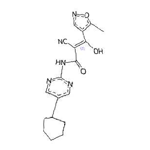 Cc1oncc1/C(O)=C(\C#N)C(=O)Nc1ncc(C2CCCCC2)cn1